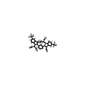 CC1=C(c2cccc(C3=C(C#N)c4cc(C(F)(F)F)ccc4C3=C(C#N)C#N)c2)C(=C(C#N)C#N)c2ccc(C(F)(F)F)cc21